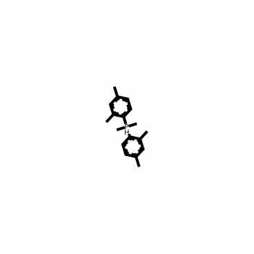 Cc1ccc([PH](C)(C)c2ccc(C)cc2C)c(C)c1